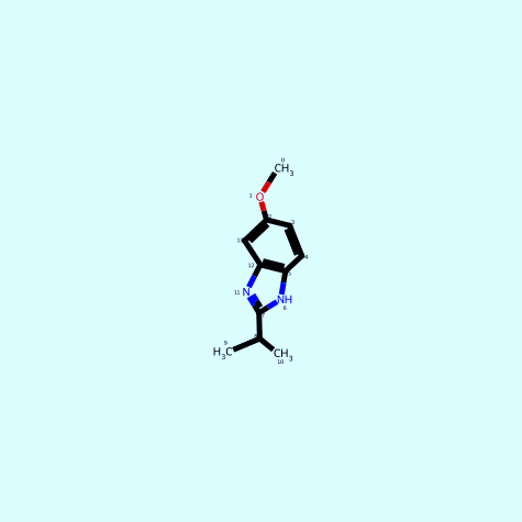 COc1ccc2[nH]c(C(C)C)nc2c1